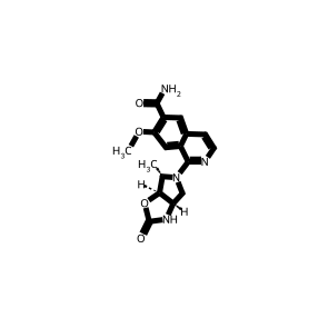 COc1cc2c(N3C[C@H]4NC(=O)O[C@H]4[C@@H]3C)nccc2cc1C(N)=O